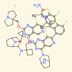 CN(C1OCC2CCC1N2CC1(COc2nc(N3CC4CCC(C3)N4)c3cnc(-c4ccc(F)c5sc(N)c(C#N)c45)c(F)c3n2)CC1)C1(CNc2nc(OC[C@@]34CCCN3C[C@H](F)C4)nc3c(F)c(-c4ccc(F)c5sc(N)c(C#N)c45)ncc23)CCC1